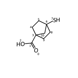 O=C(O)C12CCC(S)(CC1)C2